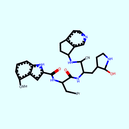 COc1cccc2[nH]c(C(=O)NC(CC(C)C)C(=O)NC(CC3CCNC3O)C(C#N)NC3CCc4ccncc43)cc12